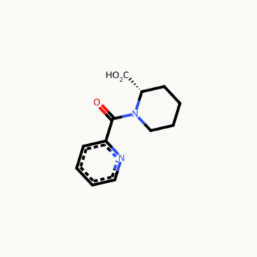 O=C(O)[C@@H]1CCCCN1C(=O)c1ccccn1